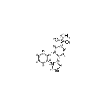 CS(=O)(=O)c1ccc(C2=CSCN2c2ccccc2)cc1